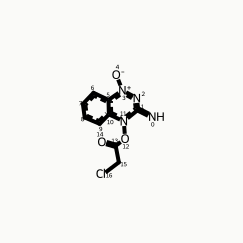 N=c1n[n+]([O-])c2ccccc2n1OC(=O)CCl